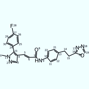 Cn1ncc(/C=C/C(=O)Nc2ccc(CCc3nnco3)cc2)c1-c1ccc(F)cc1